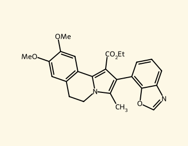 CCOC(=O)c1c(-c2cccc3ncoc23)c(C)n2c1-c1cc(OC)c(OC)cc1CC2